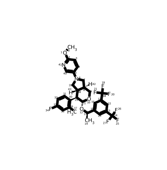 COc1ccc(N2C[C@H]3CO[C@H](O[C@H](C)c4cc(C(F)(F)F)cc(C(F)(F)F)c4)[C@@H](c4ccc(F)cc4C)[C@@H]3C2)cn1